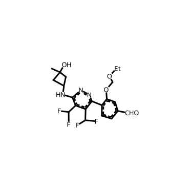 CCOCOc1cc(C=O)ccc1-c1nnc(NC2CC(C)(O)C2)c(C(F)F)c1C(F)F